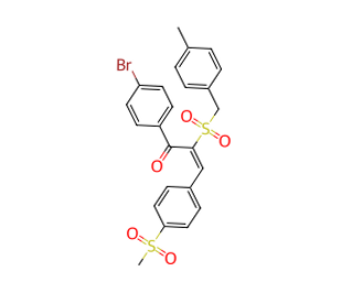 Cc1ccc(CS(=O)(=O)/C(=C/c2ccc(S(C)(=O)=O)cc2)C(=O)c2ccc(Br)cc2)cc1